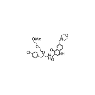 COCCOCCOC(CNC(=O)c1c[nH]c2ccc(CN3CCOCC3)cc2c1=O)Cc1ccc(Cl)cc1